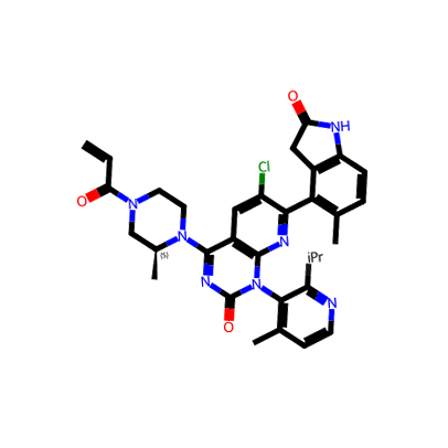 C=CC(=O)N1CCN(c2nc(=O)n(-c3c(C)ccnc3C(C)C)c3nc(-c4c(C)ccc5c4CC(=O)N5)c(Cl)cc23)[C@@H](C)C1